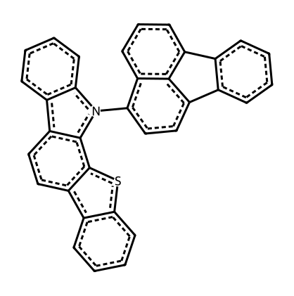 c1ccc2c(c1)-c1cccc3c(-n4c5ccccc5c5ccc6c7ccccc7sc6c54)ccc-2c13